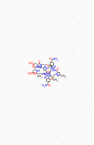 CCn1nc(C)cc1C(=O)Nc1nc2cc(C(N)=O)cc(OC)c2n1C/C=C/Cn1c(NC(=O)c2cc(C)nn2CC)nc2cc(C(N)=O)cc(OCCCNC(=O)[C@H](CC(=O)O)NC(=O)[C@H](CC(=O)O)NC(=O)[C@@H](C)CCCCN)c21